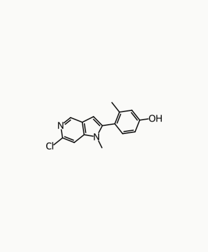 Cc1cc(O)ccc1-c1cc2cnc(Cl)cc2n1C